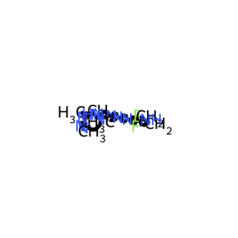 C=C1CCC(c2c(F)cc(N3CCC(N4CCN(c5ccc6c(c5)N5CCCCCCc7c(cnn7C)-c7cc(cc(C)n7)C(=C)/N=C/5N6)C(C)C4)CC3)cc2F)C(=C)N1